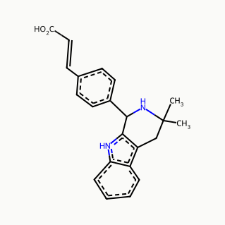 CC1(C)Cc2c([nH]c3ccccc23)C(c2ccc(C=CC(=O)O)cc2)N1